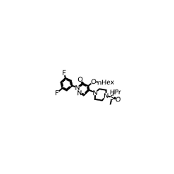 CCCCCCOc1c(N2CCN([SH](C)(=O)C(C)C)CC2)cnn(-c2cc(F)cc(F)c2)c1=O